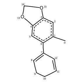 Cc1cc2c(cc1C1=CCCC=C1)OCO2